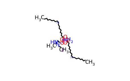 CCCCCCCC/C=C\CCCCCCCC(=O)OP(N)(=O)OC(=O)CCCCCCC/C=C\CCCCCCCC.CCC[n+]1cc[nH]c1C.[I-]